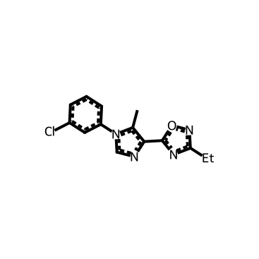 CCc1noc(-c2ncn(-c3cccc(Cl)c3)c2C)n1